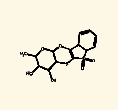 CC1OC2OC3=C(SC2C(O)C1O)S(=O)(=O)C1C=CC=CC31